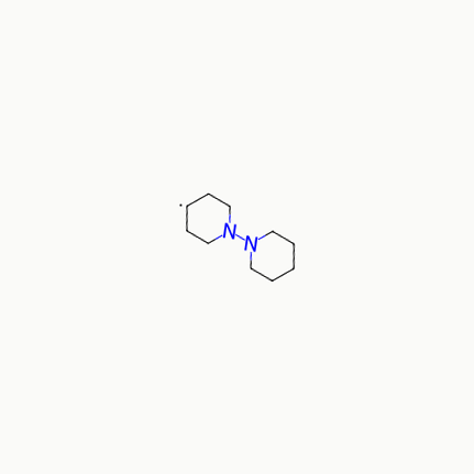 [CH]1CCN(N2CCCCC2)CC1